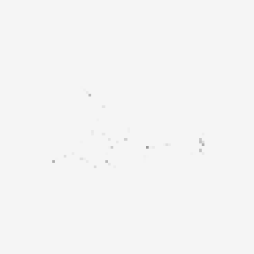 CC(=O)OCC(=O)Nc1c(Cl)nc(N)nc1CC(C)(C)C